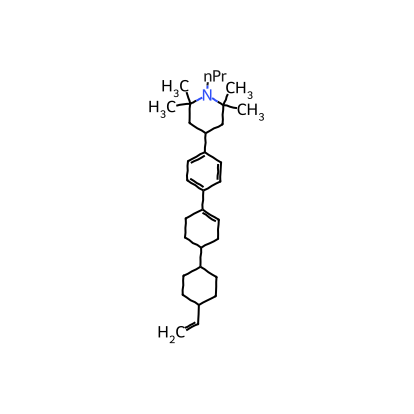 C=CC1CCC(C2CC=C(c3ccc(C4CC(C)(C)N(CCC)C(C)(C)C4)cc3)CC2)CC1